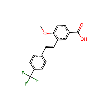 COc1ccc(C(=O)O)cc1/C=C/c1ccc(C(F)(F)F)cc1